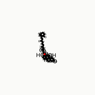 CC1=C(/C=C/C(C)=C/C=C/C(C)=C/C(=O)OCC(=O)[C@@]2(O)CC[C@H]3[C@@H]4CCC5=CC(=O)C=C[C@]5(C)[C@H]4C(O)C[C@@]32C)C(C)(C)CCC1